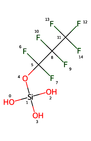 O[Si](O)(O)OC(F)(F)C(F)(F)C(F)(F)F